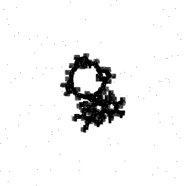 Fc1c(F)c(F)c(-c2c(-c3c(F)c(F)c(F)c(F)c3F)c3cc4nc(cc5ccc(cc6nc(cc2n3-c2c(F)c(F)c(F)c(F)c2F)C=C6)[nH]5)C=C4)c(F)c1F